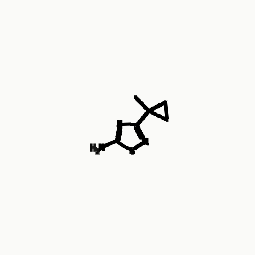 CC1(c2nsc(N)n2)CC1